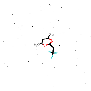 CC1CC(C)OC(CC(F)(F)F)O1